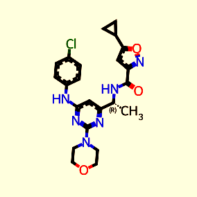 C[C@@H](NC(=O)c1cc(C2CC2)on1)c1cc(Nc2ccc(Cl)cc2)nc(N2CCOCC2)n1